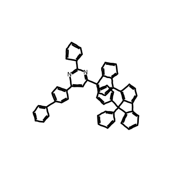 c1ccc(-c2ccc(-c3cc(-c4ccc(-c5cccc6c5C(c5ccccc5)(c5ccccc5)c5ccccc5-6)c5ccccc45)nc(-c4ccccc4)n3)cc2)cc1